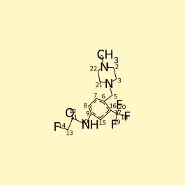 CN1CCN(Cc2ccc(NC(=O)CF)cc2C(F)(F)F)CC1